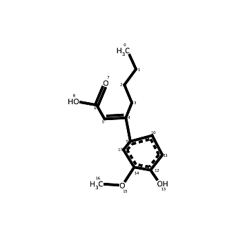 CCCCC(=CC(=O)O)c1ccc(O)c(OC)c1